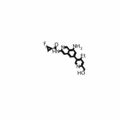 CCc1cc(CO)ncc1-c1cc(N)c2cnc(NC(=O)[C@H]3C[C@H]3F)cc2c1